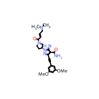 COc1cc(C#Cc2nn([C@H]3CCN(C(=O)/C=C/CN(C)C)C3)c(N)c2C(N)=O)cc(OC)c1